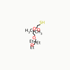 CCOCC(CC)(CC)COCCC(C)(C)OC(=O)CCS